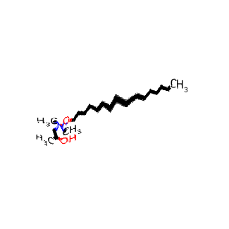 CCCCCCCCCCCCCCCCO[N+](C)(C)CC(C)O